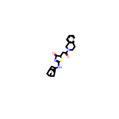 O=C1N=C(NC23CC4CC(CC2C4)C3)SC1CC(=O)N1CCc2ccccc2C1